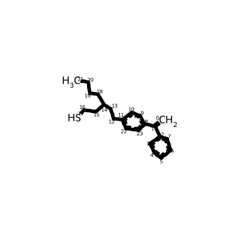 C=C(c1ccccc1)c1ccc(CCC(CCS)CCCC)cc1